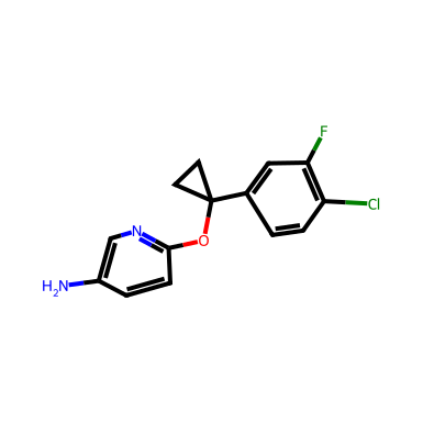 Nc1ccc(OC2(c3ccc(Cl)c(F)c3)CC2)nc1